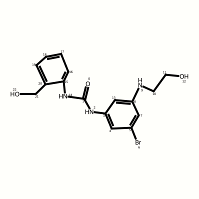 O=C(Nc1cc(Br)cc(NCCO)c1)Nc1ccccc1CO